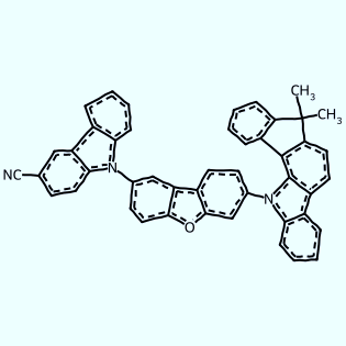 CC1(C)c2ccccc2-c2c1ccc1c3ccccc3n(-c3ccc4c(c3)oc3ccc(-n5c6ccccc6c6cc(C#N)ccc65)cc34)c21